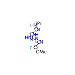 COc1cc(F)cc(-c2cncc3[nH]c(-c4n[nH]c5ccc(-c6cncc(NC(C)C)c6)nc45)cc23)c1